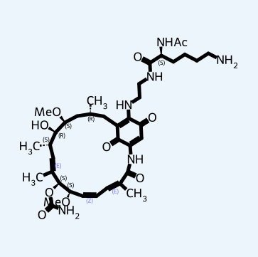 CO[C@H]1/C=C\C=C(/C)C(=O)NC2=CC(=O)C(NCCNC(=O)[C@H](CCCCN)NC(C)=O)=C(C[C@@H](C)C[C@H](OC)[C@H](O)[C@@H](C)/C=C(\C)[C@@H]1OC(N)=O)C2=O